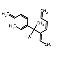 C=C/C=C\C(=C/C)C(C)(C)C(/C=C\C=C)=C/C